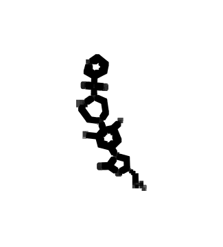 NC[C@H]1CN(c2cc(F)c(N3CCNN(S(=O)(=O)c4cccnc4)CC3)c(F)c2)C(=O)O1